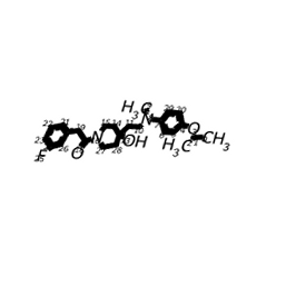 CC(C)Oc1ccc(N(C)CCC2(O)CCN(C(=O)Cc3cccc(F)c3)CC2)cc1